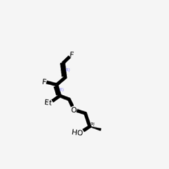 CC/C(COC[C@@H](C)O)=C(F)/C=C/F